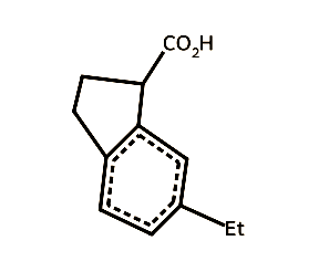 CCc1ccc2c(c1)C(C(=O)O)CC2